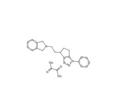 O=C(O)C(=O)O.c1ccc(-n2ncc3c2CCC3CCN2Cc3ccccc3C2)cc1